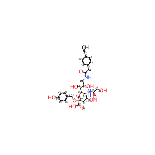 C#Cc1ccc(CC(=O)NC[C@@H](O)[C@@H](O)[C@@H]2O[C@@](OCc3ccc(O)cc3)(C(=O)O)C[C@H](O)[C@H]2NC(=O)CO)cc1